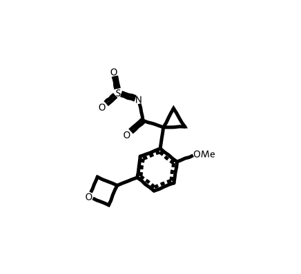 COc1ccc(C2COC2)cc1C1(C(=O)N=S(=O)=O)CC1